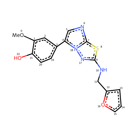 COc1cc(-c2cnc3sc(NCc4ccco4)nn23)ccc1O